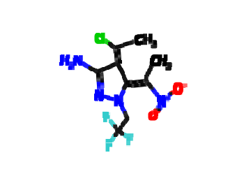 C/C(Cl)=c1/c(N)nn(CC(F)(F)F)/c1=C(/C)[N+](=O)[O-]